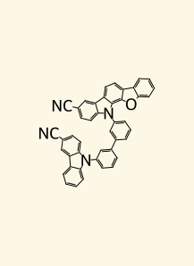 N#Cc1ccc2c(c1)c1ccccc1n2-c1cccc(-c2cccc(-n3c4ccc(C#N)cc4c4ccc5c6ccccc6oc5c43)c2)c1